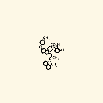 C[C@@H](COc1ccnc2c1[C@H](C)CCC2)CC1Cc2ccc(OC3CCN(C)CC3)cc2C12CCC(Nc1cccc(Cl)c1)(C(=O)O)CC2